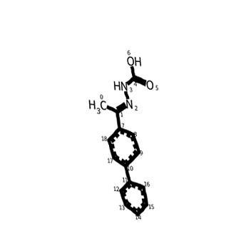 C/C(=N\NC(=O)O)c1ccc(-c2ccccc2)cc1